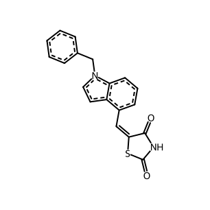 O=C1NC(=O)C(=Cc2cccc3c2ccn3Cc2ccccc2)S1